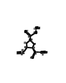 COC(=O)[C@@H]1CN(C(=O)OC(C)(C)C)CC1C(=O)O